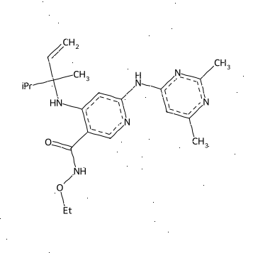 C=CC(C)(Nc1cc(Nc2cc(C)nc(C)n2)ncc1C(=O)NOCC)C(C)C